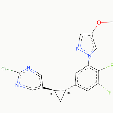 COc1cnn(-c2cc([C@@H]3C[C@H]3c3cnc(Cl)nc3)cc(F)c2F)c1